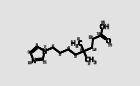 CC(C)(CCCCn1ccnc1)CCC(=O)O